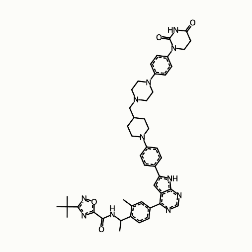 Cc1cc(-c2ncnc3[nH]c(-c4ccc(N5CCC(CN6CCN(c7ccc(N8CCC(=O)NC8=O)cc7)CC6)CC5)cc4)cc23)ccc1C(C)NC(=O)c1nc(C(C)(C)C)no1